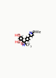 COc1ccc(-c2ccc(-c3c(C(F)(F)F)noc3-c3ccc(O)cc3O)cc2)cn1